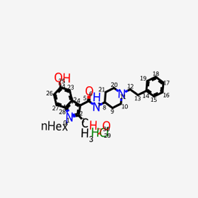 CCCCCCn1c(C)c(C(=O)NC2CCN(CCc3ccccc3)CC2)c2cc(O)ccc21.Cl.O